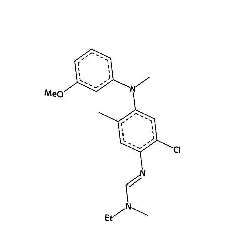 CCN(C)C=Nc1cc(C)c(N(C)c2cccc(OC)c2)cc1Cl